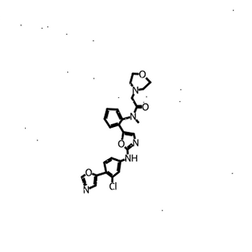 CN(C(=O)CN1CCOCC1)c1ccccc1-c1cnc(Nc2ccc(-c3cnco3)c(Cl)c2)o1